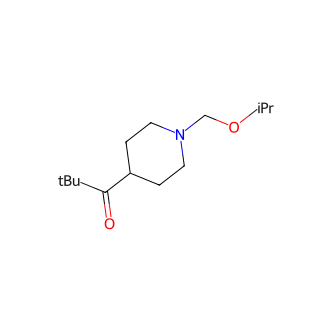 CC(C)OCN1CCC(C(=O)C(C)(C)C)CC1